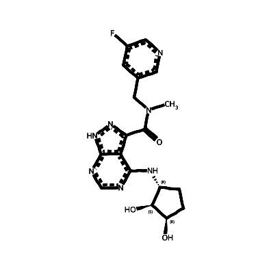 CN(Cc1cncc(F)c1)C(=O)c1n[nH]c2ncnc(N[C@@H]3CC[C@@H](O)[C@H]3O)c12